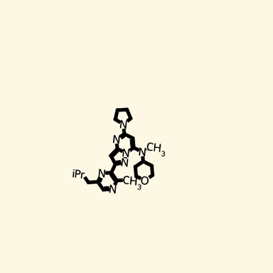 Cc1ncc(CC(C)C)nc1-c1cc2nc(N3CCCC3)cc(N(C)C3CCOCC3)n2n1